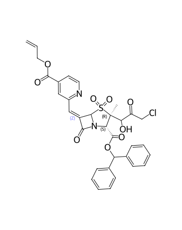 C=CCOC(=O)c1ccnc(/C=C2/C(=O)N3C2S(=O)(=O)[C@@](C)(C(O)C(=O)CCl)[C@@H]3C(=O)OC(c2ccccc2)c2ccccc2)c1